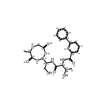 CC(C)C[C@H](NC(=O)[C@@H](NC(=O)c1cccc(-c2ccccc2)n1)[C@@H](C)O)B1OC(=O)COC(C)C(=O)O1